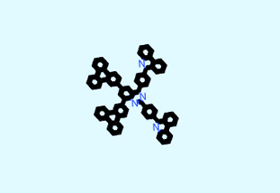 c1ccc2c(c1)nc(-c1ccc(-c3nc(-c4ccc(-c5nc6ccccc6c6ccccc56)cc4)c4cc(-c5ccc6c7ccccc7c7ccccc7c6c5)cc(-c5ccc6c7ccccc7c7ccccc7c6c5)c4n3)cc1)c1ccccc12